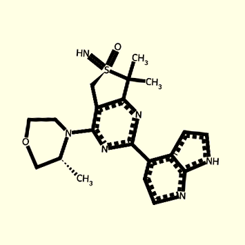 C[C@@H]1COCCN1c1nc(-c2ccnc3[nH]ccc23)nc2c1C[S@@](=N)(=O)C2(C)C